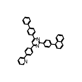 c1ccc(-c2ccc(-c3cc(-c4ccc(-c5ccccn5)cc4)nc(-c4ccc(-c5cccc6ccccc56)cc4)n3)cc2)cc1